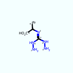 CC(C)C(N=C(NN)NN)C(=O)O